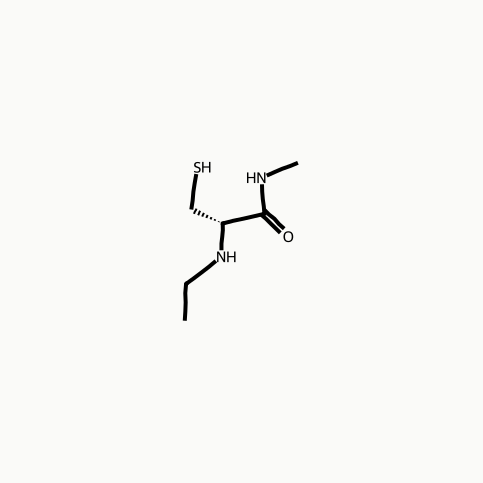 CCN[C@H](CS)C(=O)NC